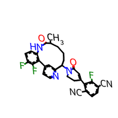 CC1CCCC(N2CCC(c3c(C#N)ccc(C#N)c3F)=CC2=O)c2cc(ccn2)-c2c(ccc(F)c2F)NC1=O